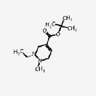 CC[C@@H]1CC(C(=O)OC(C)(C)C)=CCN1C